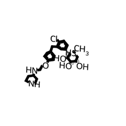 C[SH]1C[C@@H](O)[C@@H](O)[C@@H](O)[C@@H]1c1ccc(Cl)c(Cc2ccc(OCCNC3CCNCC3)cc2)c1